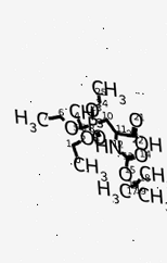 CCOC(C)(OCC)P(=O)(CC(NC(=O)OC(C)(C)C)C(=O)O)OCC